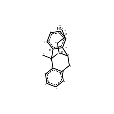 CC12c3ccccc3CC(c3ccccc31)N2CCO